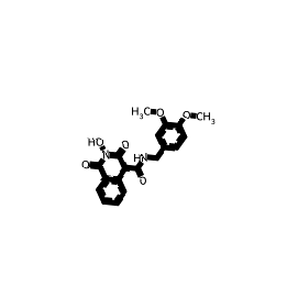 COc1ccc(CNC(=O)C2C(=O)N(O)C(=O)c3ccccc32)cc1OC